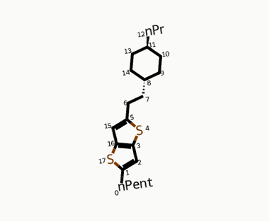 CCCCCc1cc2sc(CC[C@H]3CC[C@H](CCC)CC3)cc2s1